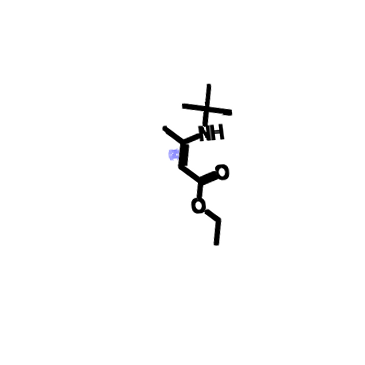 CCOC(=O)/C=C(/C)NC(C)(C)C